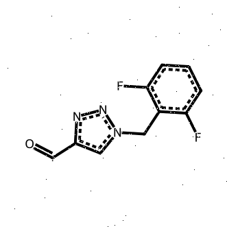 O=[C]c1cn(Cc2c(F)cccc2F)nn1